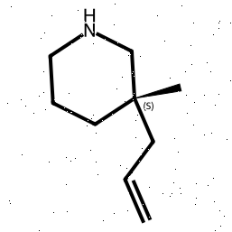 C=CC[C@]1(C)CCCNC1